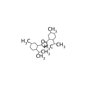 CC1CCC(C(C)C)C(c2[c]cc(C3CC(C)CCC3C(C)C)o2)C1